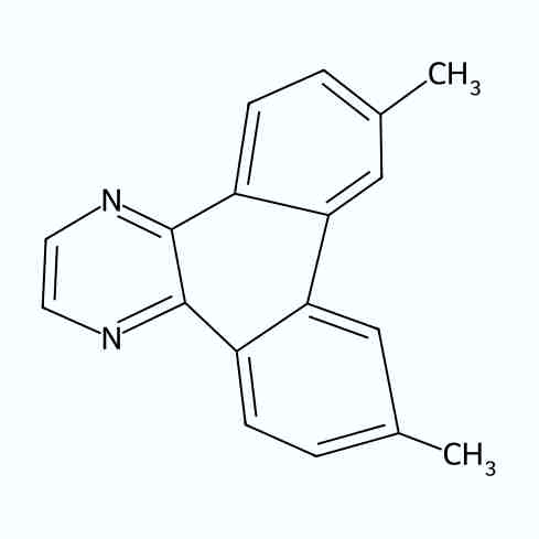 Cc1ccc2c(c1)c1cc(C)ccc1c1nccnc21